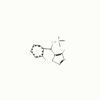 CC1=C(C(N[Si](C)(C)C)c2ccccc2[SiH3])CC=C1